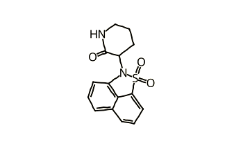 O=C1NCCCC1N1c2cccc3cccc(c23)S1(=O)=O